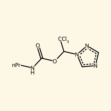 CCCNC(=O)OC(n1cncn1)C(Cl)(Cl)Cl